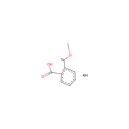 CO[Te]c1ccccc1C(=O)O.[KH]